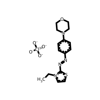 CC[n+]1ccsc1/N=N/c1ccc(N2CCOCC2)cc1.[O-][Cl+3]([O-])([O-])[O-]